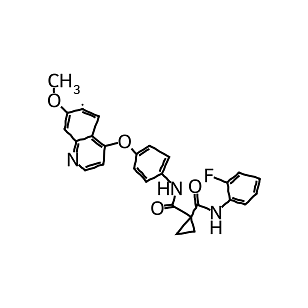 COc1[c]cc2c(Oc3ccc(NC(=O)C4(C(=O)Nc5ccccc5F)CC4)cc3)ccnc2c1